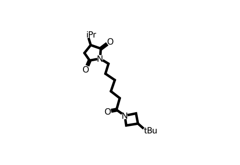 CC(C)C1CC(=O)N(CCCCCC(=O)N2CC(C(C)(C)C)C2)C1=O